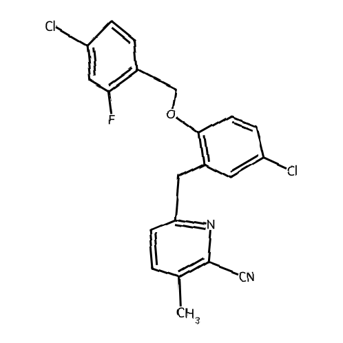 Cc1ccc(Cc2cc(Cl)ccc2OCc2ccc(Cl)cc2F)nc1C#N